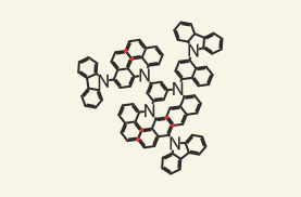 C1=CC2c3ccccc3N(c3ccc(N(c4cc(N(c5cccc6ccccc56)c5ccc(-n6c7ccccc7c7ccccc76)c6ccccc56)cc(N(c5cccc6ccccc56)c5ccc(-n6c7ccccc7c7ccccc76)c6ccccc56)c4)c4cccc5ccccc45)c4ccccc34)C2C=C1